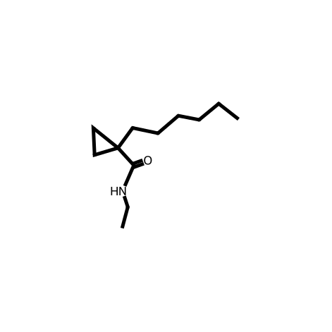 CCCCCCC1(C(=O)NCC)CC1